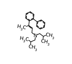 CC(=CCN(CC(C)C)CC(C)C)c1ccccc1-c1ccccc1